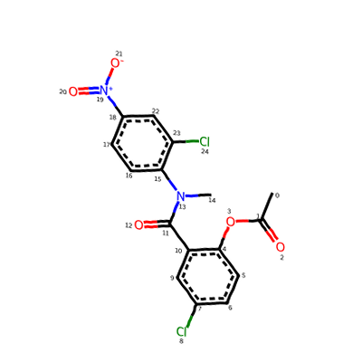 CC(=O)Oc1ccc(Cl)cc1C(=O)N(C)c1ccc([N+](=O)[O-])cc1Cl